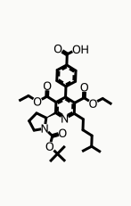 CCOC(=O)c1c(CCCC(C)C)nc([C@@H]2CCCN2C(=O)OC(C)(C)C)c(C(=O)OCC)c1-c1ccc(C(=O)O)cc1